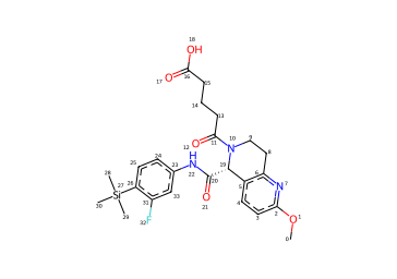 COc1ccc2c(n1)CCN(C(=O)CCCC(=O)O)[C@H]2C(=O)Nc1ccc([Si](C)(C)C)c(F)c1